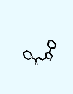 O=C(C=Cc1cc(-c2ccccc2)cs1)N1CCCCC1